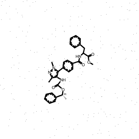 COC(=O)C(Cc1ccccc1)NC(=O)c1ccc(-c2c(NC(=O)O[C@H](C)c3ccccc3)c(C)nn2C)cc1